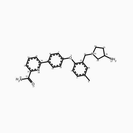 Cc1ccc(Oc2ccc(-c3cccc(C(N)=O)n3)cc2)c(CN2CCC(N)C2)c1